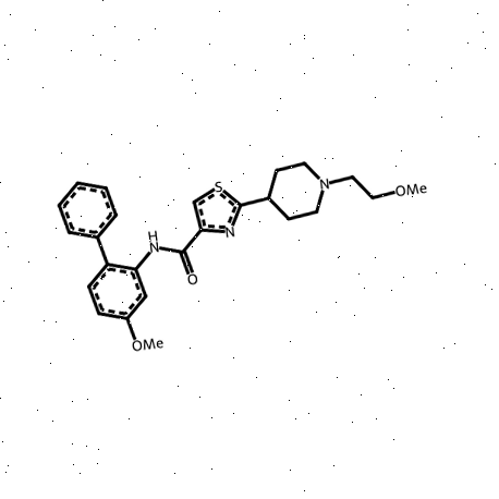 COCCN1CCC(c2nc(C(=O)Nc3cc(OC)ccc3-c3ccccc3)cs2)CC1